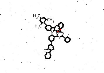 Cc1cc(C)c(-c2ccc3c(c2)c2ccccc2n3-c2ccc(-c3ccc4c(c3)oc3ccccc34)cc2-c2nc(-c3ccccc3)nc(-c3ccccc3)n2)c(C)c1